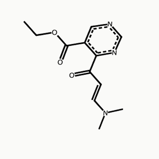 CCOC(=O)c1cncnc1C(=O)/C=C/N(C)C